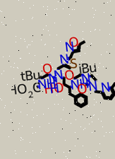 CCC(C)C(C(=O)NC(Cc1ccccc1)C(O)CN(Cc1csc(-c2cc(C)on2)n1)NC(=O)C(NC(=O)O)C(C)(C)C)N1CCN(Cc2cccc(C)n2)C1=O